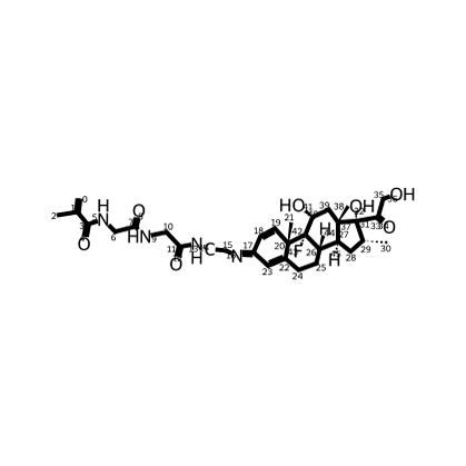 C=C(C)C(=O)NCC(=O)NCC(=O)NCC/N=C1\C=C[C@@]2(C)C(=C1)CC[C@H]1[C@@H]3C[C@@H](C)[C@](O)(C(=O)CO)[C@@]3(C)C[C@H](O)[C@@]12F